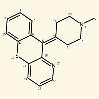 CN1CCC(=C2c3ccccc3Sc3cccnc32)CC1